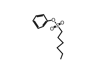 CCCCCCS(=O)(=O)Oc1ccccc1